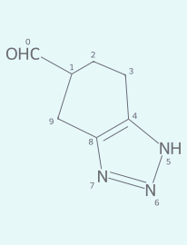 O=CC1CCc2[nH]nnc2C1